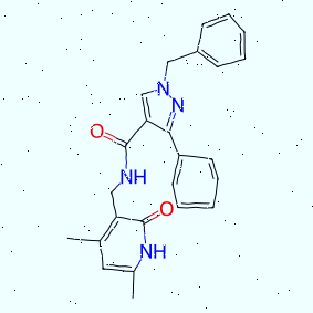 Cc1cc(C)c(CNC(=O)c2cn(Cc3ccccc3)nc2-c2ccccc2)c(=O)[nH]1